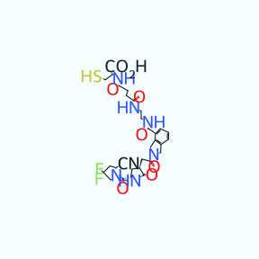 N#C[C@@H]1CC(F)(F)CN1C(=O)[C@@H]1C[C@@H](CC(=O)N2Cc3cccc(C(=O)NCCNC(=O)CCC(=O)NC(CS)C(=O)O)c3C2)C(=O)N1